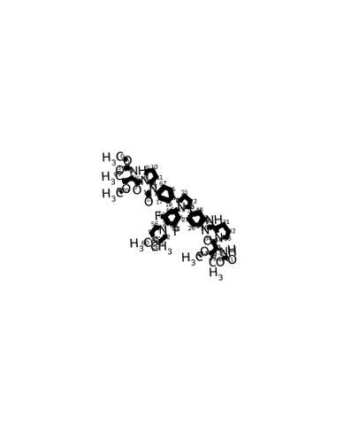 COC(=O)N[C@H](C(=O)N1CCC[C@H]1N(C=O)c1ccc([C@@H]2CC[C@@H](c3ccc4nc([C@@H]5CCCN5C(=O)[C@@H](NC(=O)O)[C@@H](C)OC)[nH]c4c3)N2c2cc(F)c(N3CC[Si](C)(C)CC3)c(F)c2)cc1)[C@@H](C)OC